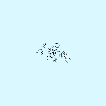 CN[C@@H](C)C(=O)N(C)[C@@H](CC(C)C)C(=O)N[C@@H](C(=O)N(C)CCC(=O)N(C)[C@H](C=O)CC(C)C)C(=O)N(C)[C@@H](Cc1ccccc1)C(=O)N[C@@H](C)C(=O)N1CCCCC1